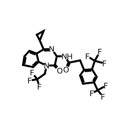 O=C(Cc1ccc(C(F)(F)F)cc1C(F)(F)F)NC1N=C(C2CC2)c2ccccc2N(CC(F)(F)F)C1=O